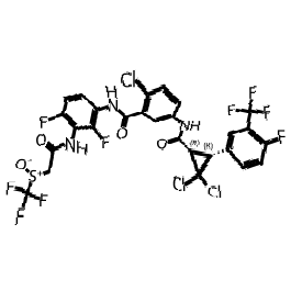 O=C(C[S+]([O-])C(F)(F)F)Nc1c(F)ccc(NC(=O)c2cc(NC(=O)[C@H]3[C@H](c4ccc(F)c(C(F)(F)F)c4)C3(Cl)Cl)ccc2Cl)c1F